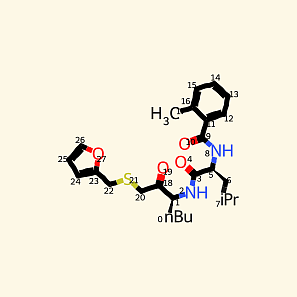 CCCC[C@H](NC(=O)[C@H](CC(C)C)NC(=O)c1ccccc1C)C(=O)CSCc1ccco1